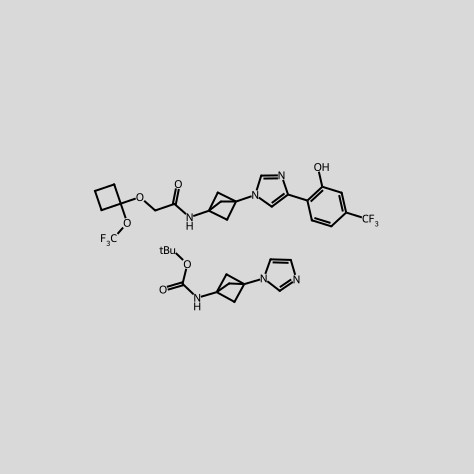 CC(C)(C)OC(=O)NC12CC(n3ccnc3)(C1)C2.O=C(COC1(OC(F)(F)F)CCC1)NC12CC(n3cnc(-c4ccc(C(F)(F)F)cc4O)c3)(C1)C2